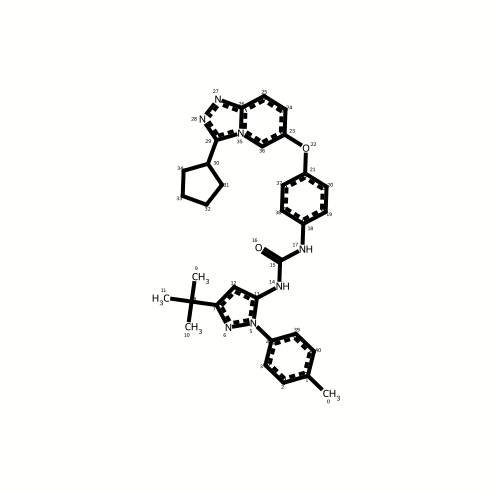 Cc1ccc(-n2nc(C(C)(C)C)cc2NC(=O)Nc2ccc(Oc3ccc4nnc(C5CCCC5)n4c3)cc2)cc1